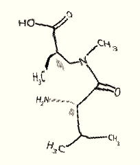 CC(C)[C@H](N)C(=O)N(C)[C@@H](C)C(=O)O